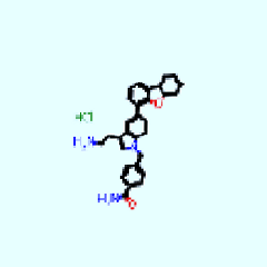 Cl.NCCc1cn(Cc2ccc(C(N)=O)cc2)c2ccc(-c3cccc4c3oc3ccccc34)cc12